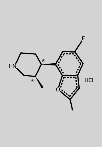 Cc1cc2cc(F)cc([C@@H]3CCNC[C@@H]3C)c2o1.Cl